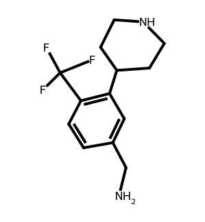 NCc1ccc(C(F)(F)F)c(C2CCNCC2)c1